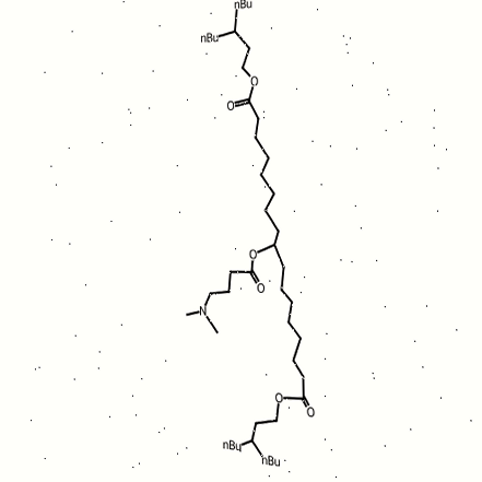 CCCCC(CCCC)CCOC(=O)CCCCCCCC(CCCCCCCC(=O)OCCC(CCCC)CCCC)OC(=O)CCCN(C)C